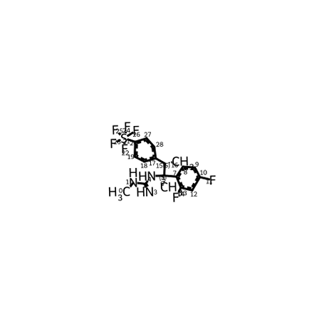 CNC(=N)N[C@](C)(c1ccc(F)cc1F)[C@@H](C)c1ccc(S(F)(F)(F)(F)F)cc1